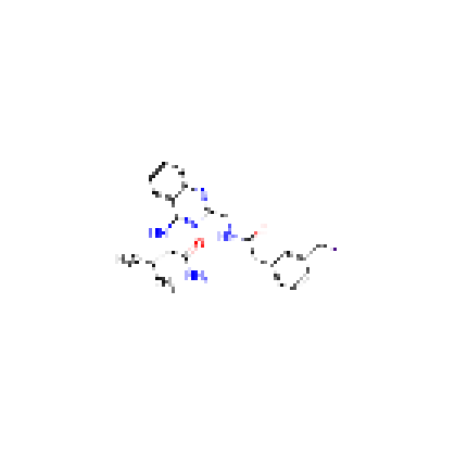 CC(C)[C@H](Nc1nc(CNC(=O)Cc2cccc(CI)c2)nc2ccccc12)C(N)=O